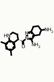 Cc1cc(C)c2c(c1)[C@@H](C(=O)n1nc3c(c1N)CC(N)CC3)CCN2